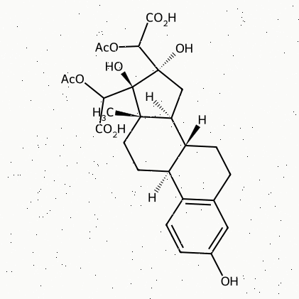 CC(=O)OC(C(=O)O)[C@@]1(O)[C@@]2(C)CC[C@@H]3c4ccc(O)cc4CC[C@H]3[C@@H]2C[C@]1(O)C(OC(C)=O)C(=O)O